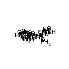 Nc1nc2c(ncn2[C@@H]2OC(OC(O)CC[C@H]3[C@H](F)[C@H](n4cnc5c(=O)[nH]cnc54)O[C@@H]3COP)[C@@H](O)[C@H]2OO)c(=O)[nH]1